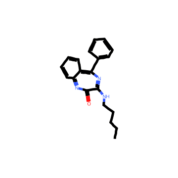 CCCCCNc1nc(-c2ccccc2)c2ccccc2nc1=O